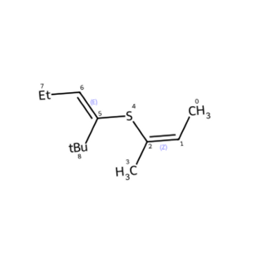 C/C=C(/C)S/C(=C/CC)C(C)(C)C